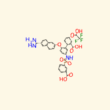 N=C(N)c1ccc2cc(Oc3ccc(NS(=O)(=O)c4cccc(C(=O)O)c4)cc3-c3ccccc3C(=O)O)ccc2c1.O=C(O)C(F)(F)F